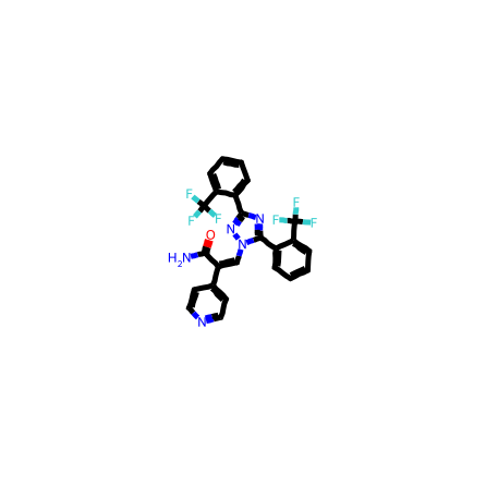 NC(=O)C(=Cn1nc(-c2ccccc2C(F)(F)F)nc1-c1ccccc1C(F)(F)F)c1ccncc1